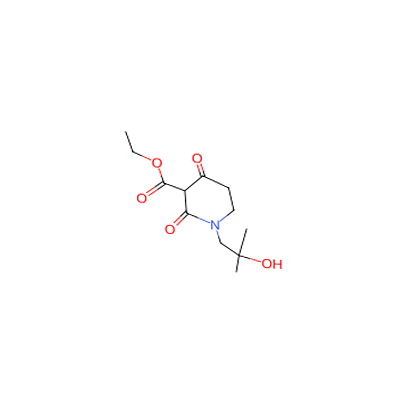 CCOC(=O)C1C(=O)CCN(CC(C)(C)O)C1=O